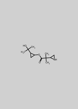 CC(C)(O)C1CC1OC(=O)C(C)(C)C1CN1